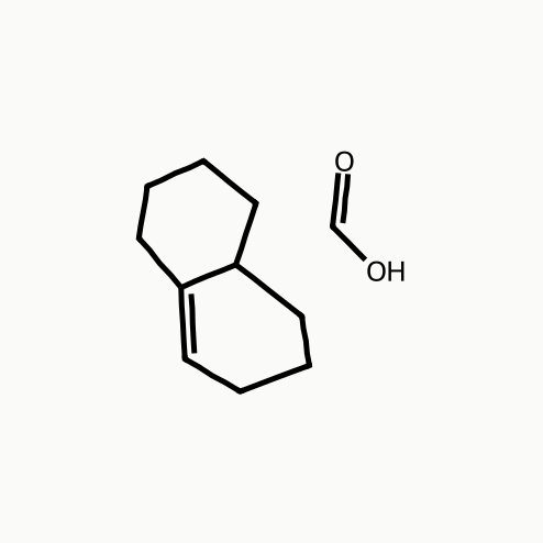 C1=C2CCCCC2CCC1.O=CO